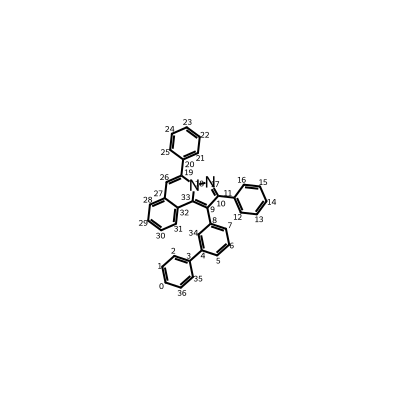 c1ccc(-c2cccc(-c3c(-c4ccccc4)nn4c(-c5ccccc5)cc5ccccc5c34)c2)cc1